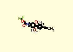 CC#Cc1cc(C)c(C2C(=O)CC3(CC2=O)CN(C(=O)COC(F)F)C3)c(C)c1